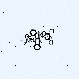 NS(=O)(=O)c1cccc([N+](=O)[O-])c1-c1nc2ccccc2nc1Nc1cc(Cl)nc(Cl)c1